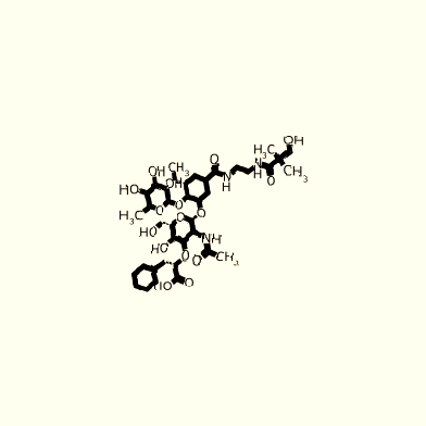 CC[C@@H]1CC(C(=O)NCCNC(=O)C(C)(C)CO)CC(O[C@@H]2O[C@@H](CO)C(O)C(O[C@@H](CC3CCCCC3)C(=O)O)C2NC(C)=O)C1OC1OC(C)C(O)C(O)C1O